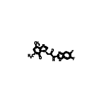 Cc1cn(C)c(=O)c2c1ncn2CC(=O)Nc1nc2cc(F)c(F)cc2o1